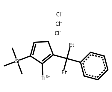 CCC(CC)(C1=[C]([Ti+3])C([Si](C)(C)C)=CC1)c1ccccc1.[Cl-].[Cl-].[Cl-]